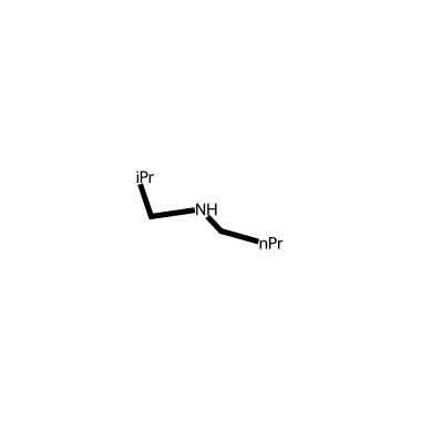 [CH2]CCCNCC(C)C